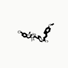 CCOc1ccc(CCC(=O)N2CCC(CC(=O)NC(Cc3ccc(Cl)cc3)C(=O)OC)CC2)cc1